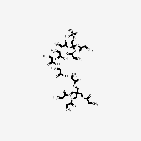 C=CC(=O)O.C=CC(=O)O.C=CC(=O)O.C=CC(=O)OC(COP(=O)(O)O)(OC(=O)C=C)OC(=O)C=C.C=CC(=O)OCC(COC(=O)C=C)(COC(=O)C=C)COC(=O)C=C